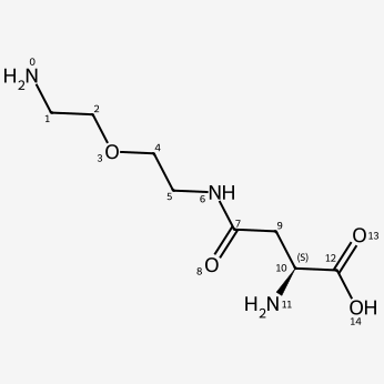 NCCOCCNC(=O)C[C@H](N)C(=O)O